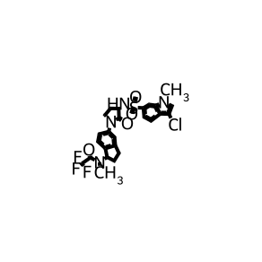 CN(C(=O)C(F)(F)F)C1CCc2cc(N3CC[C@H](NS(=O)(=O)c4ccc5c(Cl)cn(C)c5c4)C3=O)ccc21